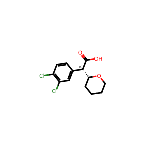 O=C(O)[C@@H](c1ccc(Cl)c(Cl)c1)C1CCCCO1